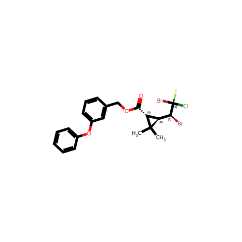 CC1(C)[C@H]([C@H](Br)[C@@](F)(Cl)Br)[C@H]1C(=O)OCc1cccc(Oc2ccccc2)c1